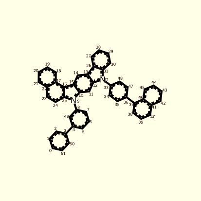 c1ccc(-c2cccc(-n3c4cc5c(cc4c4c6ccccc6ccc43)c3ccccc3n5-c3ccc(-c4cccc5ccccc45)cc3)c2)cc1